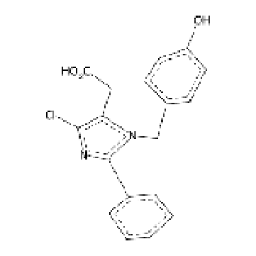 O=C(O)Cc1c(Cl)nc(-c2ccccc2)n1Cc1ccc(O)cc1